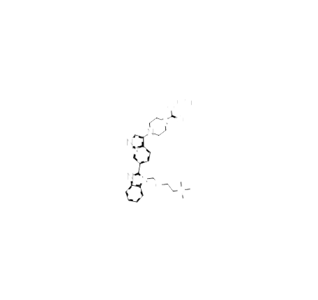 CC(C)(C)OC(=O)N1CCN(c2cnn3cc(-c4nc5ccccc5n4COCC[Si](C)(C)C)ccc23)CC1